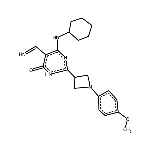 COc1ccc(N2CC(c3nc(NC4CCCCC4)c(C=N)c(=O)[nH]3)C2)cc1